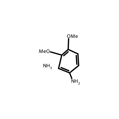 COc1ccc(N)cc1OC.N